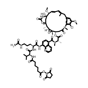 COc1cc2cc(c1Cl)N(C)C(=O)C[C@H](OC(=O)[C@H](C)N(C)C(=O)c1ccc(NC(=O)[C@H](CCCNC(N)=O)NC(=O)[C@@H](NC(=O)CCCCC(=O)ON3C(=O)CCC3=O)C(C)C)c3ncccc13)[C@]1(C)O[C@H]1[C@H](C)[C@@H]1C[C@@](O)(NC(=O)O1)[C@H](OC)/C=C/C=C(\C)C2